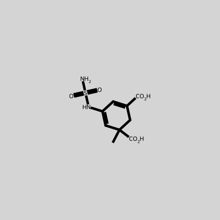 CC1(C(=O)O)C=C(NS(N)(=O)=O)C=C(C(=O)O)C1